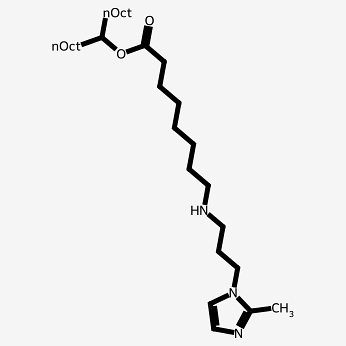 CCCCCCCCC(CCCCCCCC)OC(=O)CCCCCCCNCCCn1ccnc1C